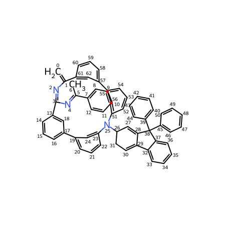 C=C1/N=C(\N=C(/C)c2ccccc2)c2cccc(c2)-c2cccc(c2)N(C2C=C3C(=CC2)c2ccccc2C3(c2ccccc2)c2ccccc2)c2cccc(c2)-c2cccc1c2